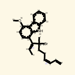 C=C/C=C\CCC(C)(Br)/C(=C\C)c1ccc(OC)c2c1[nH]c1ccccc12